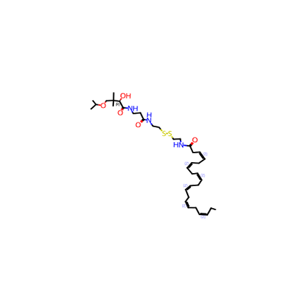 CC/C=C\C/C=C\C/C=C\C/C=C\C/C=C\C/C=C\CC(=O)NCCSSCCNC(=O)CCNC(=O)[C@H](O)C(C)(C)COC(C)C